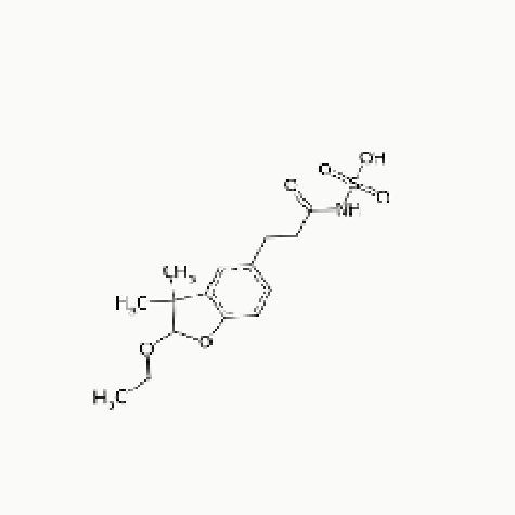 CCOC1Oc2ccc(CCC(=O)NS(=O)(=O)O)cc2C1(C)C